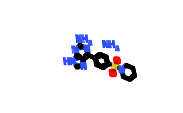 N.Nc1nc(-c2ccc(S(=O)(=O)N3CCCCC3)cc2)c2nc[nH]c2n1